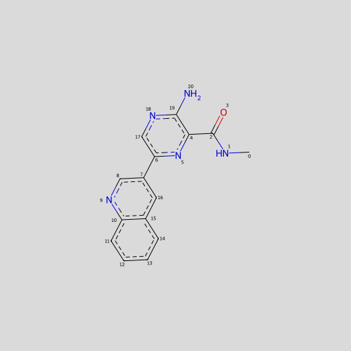 CNC(=O)c1nc(-c2cnc3ccccc3c2)cnc1N